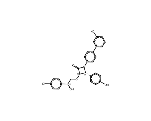 N#Cc1cncc(-c2ccc(N3C(=O)[C@H](SC[C@@H](O)c4ccc(Cl)cc4)[C@H]3c3ccc(O)cc3)cc2)c1